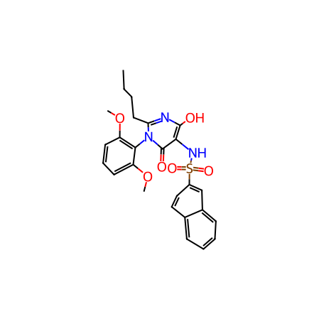 CCCCc1nc(O)c(NS(=O)(=O)c2ccc3ccccc3c2)c(=O)n1-c1c(OC)cccc1OC